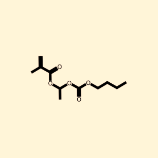 C=C(C)C(=O)OC(C)OC(=O)OCCCC